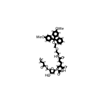 COc1ccc(C(OCCOCCNC(=O)/C=C/c2cn([C@H]3C[C@H](O)[C@@H](COC(=O)CCC(C)=O)O3)c(=O)[nH]c2=O)(c2ccccc2)c2ccc(OC)cc2)cc1